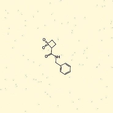 O=C(NCc1ccccc1)C1CCS1(=O)=O